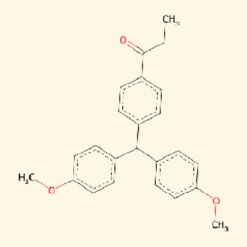 CCC(=O)c1ccc(C(c2ccc(OC)cc2)c2ccc(OC)cc2)cc1